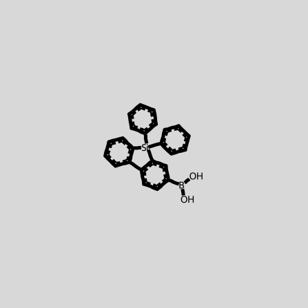 OB(O)c1ccc2c(c1)[Si](c1ccccc1)(c1ccccc1)c1ccccc1-2